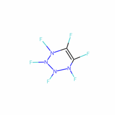 Fc1c(F)n(F)n(F)n(F)n1F